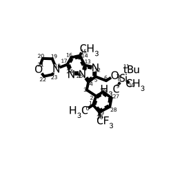 Cc1c(Cc2c(CO[Si](C)(C)C(C)(C)C)nc3c(C)cc(N4CCOCC4)nn23)cccc1C(F)(F)F